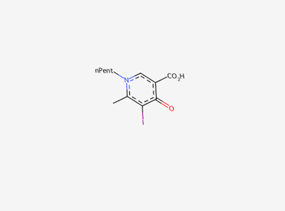 CCCCCn1cc(C(=O)O)c(=O)c(I)c1C